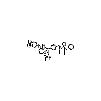 O=C(NCc1ccc(-c2cc3c(NC4CCS(=O)(=O)CC4)cccc3n2CC(F)(F)F)cc1)Nc1ccccc1